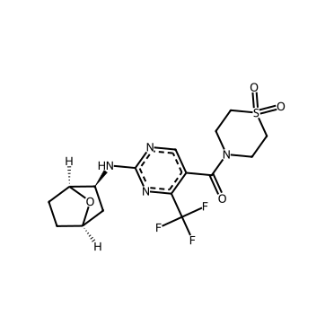 O=C(c1cnc(N[C@H]2C[C@H]3CC[C@@H]2O3)nc1C(F)(F)F)N1CCS(=O)(=O)CC1